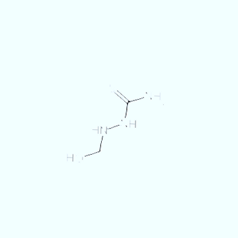 NC(=S)NNCO